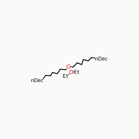 CCCCCCCCCCCCCCCCOCCCCCCCCCCCCCCCC.CCOCC